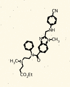 CCOC(=O)CCN(C)CCN(C(=O)c1ccc2c(c1)nc(CNc1ccc(C#N)cc1)n2C)c1ccccc1